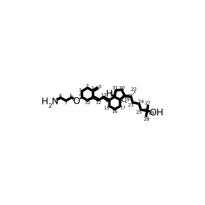 C=C1CC[C@H](OCCCN)C/C1=C/C=C1\CCC[C@]2(C)C([C@H](C)CCCC(C)(C)O)CC[C@@H]12